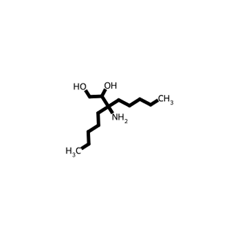 CCCCCC(N)(CCCCC)C(O)CO